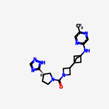 O=C(N1CC(C23CC(Nc4cnc(C(F)(F)F)cn4)(C2)C3)C1)N1CC[C@H](c2ncn[nH]2)C1